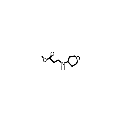 COC(=O)CCNC1CCOCC1